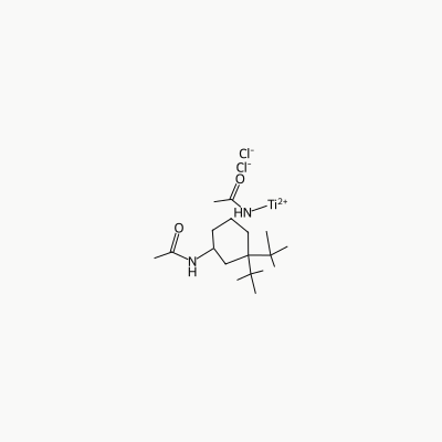 CC(=O)NC1CCCC(C(C)(C)C)(C(C)(C)C)C1.CC(=O)[NH][Ti+2].[Cl-].[Cl-]